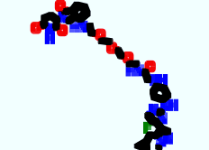 Cn1ncc(-c2nc(N[C@H]3CC[C@H](NCC(=O)NCCOCCOCCOCCNc4cccc5c4CN(C4CCC(=O)NC4=O)C5=O)CC3)ncc2F)c1CC1CC1